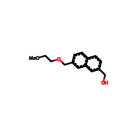 COCCOCc1ccc2ccc(CO)cc2c1